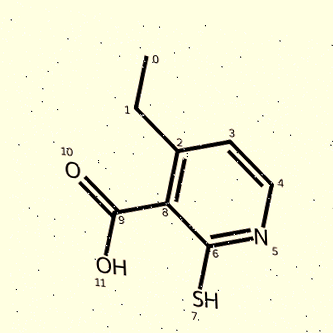 CCc1ccnc(S)c1C(=O)O